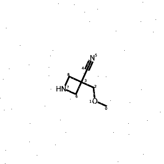 COCC1(C#N)CNC1